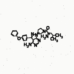 CC(C)C[C@@H](N)C(=O)N1CC[C@@H](n2nc(-c3ccc(Oc4ccccc4)cc3)c3c(N)ncnc32)C1